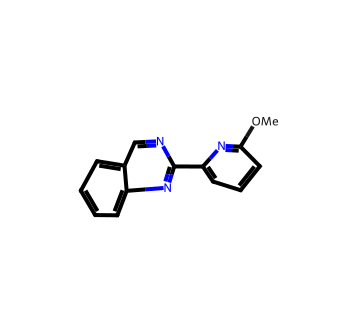 COc1cccc(-c2ncc3ccccc3n2)n1